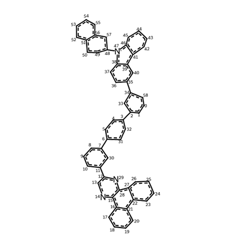 c1cc(-c2ccc(-c3cccc(-c4cnc5c6ccccc6c6ccccc6c5n4)c3)cc2)cc(-c2ccc3c(c2)c2ccccc2n3-c2ccc3ccccc3c2)c1